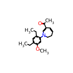 CCc1cc(CC)c(N2C=C(C(C)=O)C=CCC2)cc1OC